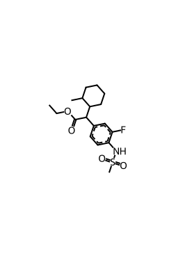 CCOC(=O)C(c1ccc(NS(C)(=O)=O)c(F)c1)C1CCCCC1C